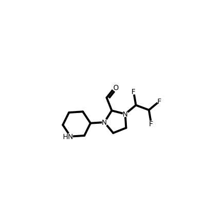 O=CC1N(C2CCCNC2)CCN1C(F)C(F)F